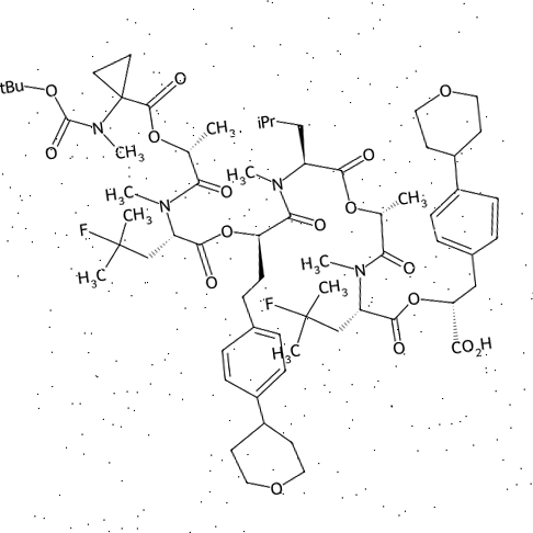 CC(C)C[C@@H](C(=O)O[C@H](C)C(=O)N(C)[C@@H](CC(C)(C)F)C(=O)O[C@H](Cc1ccc(C2CCOCC2)cc1)C(=O)O)N(C)C(=O)[C@@H](CCc1ccc(C2CCOCC2)cc1)OC(=O)[C@H](CC(C)(C)F)N(C)C(=O)[C@@H](C)OC(=O)C1(N(C)C(=O)OC(C)(C)C)CC1